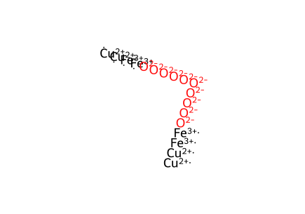 [Cu+2].[Cu+2].[Cu+2].[Cu+2].[Fe+3].[Fe+3].[Fe+3].[Fe+3].[O-2].[O-2].[O-2].[O-2].[O-2].[O-2].[O-2].[O-2].[O-2].[O-2]